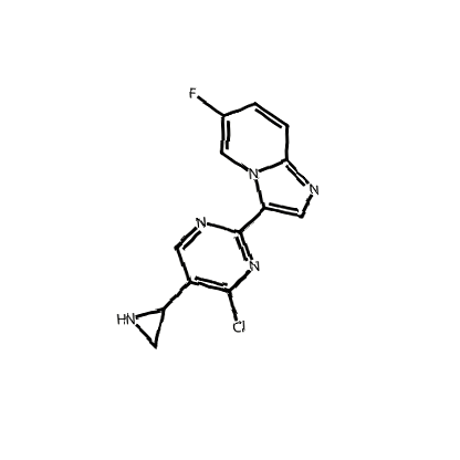 Fc1ccc2ncc(-c3ncc(C4CN4)c(Cl)n3)n2c1